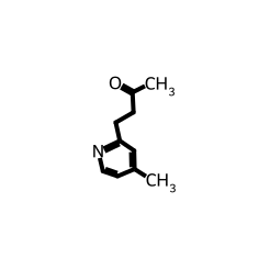 CC(=O)CCc1cc(C)ccn1